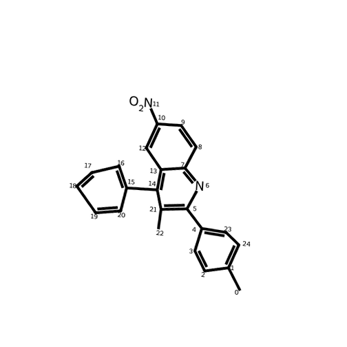 Cc1ccc(-c2nc3ccc([N+](=O)[O-])cc3c(-c3ccccc3)c2C)cc1